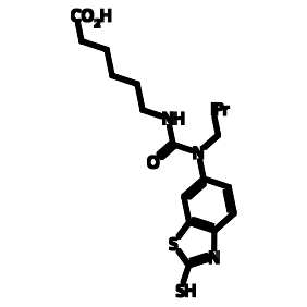 CC(C)CN(C(=O)NCCCCCC(=O)O)c1ccc2nc(S)sc2c1